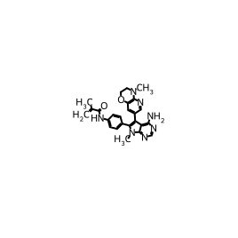 C=C(C)C(=O)Nc1ccc(-c2c(-c3cnc4c(c3)OCCN4C)c3c(N)ncnc3n2C)cc1